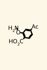 CC(=O)c1ccc(C(=O)O)c(ON)c1